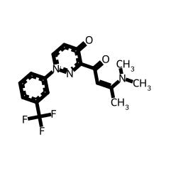 CC(=CC(=O)c1nn(-c2cccc(C(F)(F)F)c2)ccc1=O)N(C)C